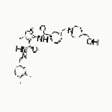 Cc1ccc(C=NNC(=O)c2c(C)csc2NC(=O)c2cccc(CN3CCC(CO)CC3)c2)cc1C